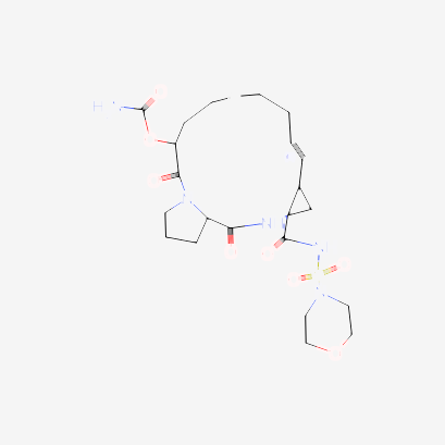 NC(=O)OC1CCCCC/C=C/C2CC2(C(=O)NS(=O)(=O)N2CCOCC2)NC(=O)C2CCCN2C1=O